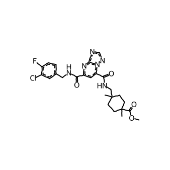 COC(=O)C1(C)CCC(C)(CNC(=O)c2cc(C(=O)NCc3ccc(F)c(Cl)c3)nc3ncnn23)CC1